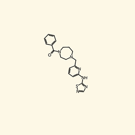 O=C(c1ccccc1)N1CCCN(Cc2cccc(Nc3ncns3)n2)CC1